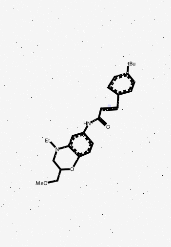 CCN1CC(COC)Oc2ccc(NC(=O)/C=C/c3ccc(C(C)(C)C)cc3)cc21